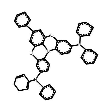 C1=CC(N(c2ccccc2)c2ccc3c(c2)Oc2cc(-c4ccccc4)cc4c2B3c2ccc(N(c3ccccc3)c3ccccc3)cc2O4)=CCC1